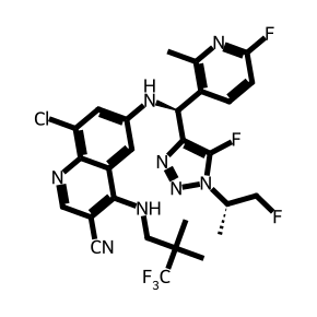 Cc1nc(F)ccc1[C@H](Nc1cc(Cl)c2ncc(C#N)c(NCC(C)(C)C(F)(F)F)c2c1)c1nnn([C@@H](C)CF)c1F